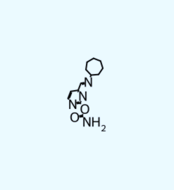 NC(=O)Oc1nccc(C=NC2CCCCCC2)n1